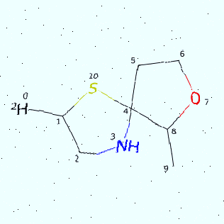 [2H]C1CNC2(CCOC2C)S1